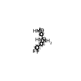 CS(=N)(=O)c1ccc(C(=O)Nc2cc(-c3ccc(F)c(F)c3)ccc2N)cc1